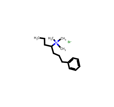 CCCC(CCCc1ccccc1)[N+](C)(C)C.[Br-]